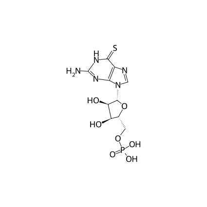 Nc1nc2c(ncn2[C@@H]2O[C@H](COP(=O)(O)O)[C@@H](O)[C@H]2O)c(=S)[nH]1